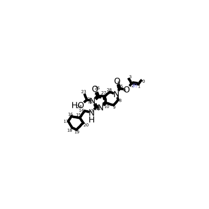 C/C=C(\C)OC(=O)N1CCc2nc(NCC3CCCCC3)n(C(C)O)c(=O)c2C1